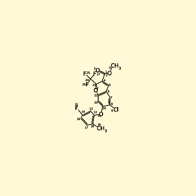 COC(=O)C1=Cc2cc(Cl)c(Oc3cc(F)ccc3C)cc2OC1C(F)(F)F